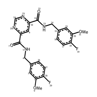 COc1cc(CNC(=O)c2cc(C(=O)NCc3ccc(F)c(OC)c3)ncn2)ccc1F